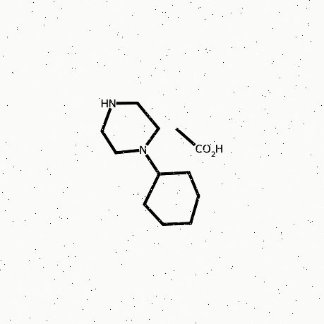 C1CCC(N2CCNCC2)CC1.CC(=O)O